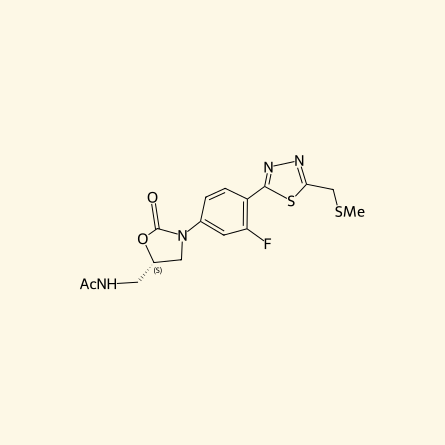 CSCc1nnc(-c2ccc(N3C[C@H](CNC(C)=O)OC3=O)cc2F)s1